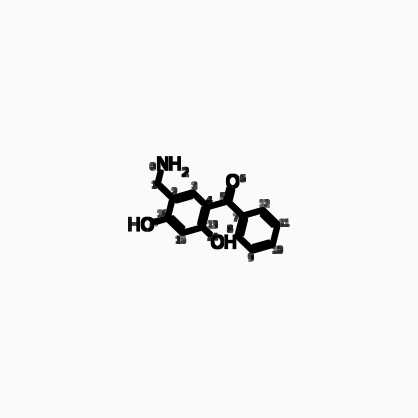 NCc1cc(C(=O)c2ccccc2)c(O)cc1O